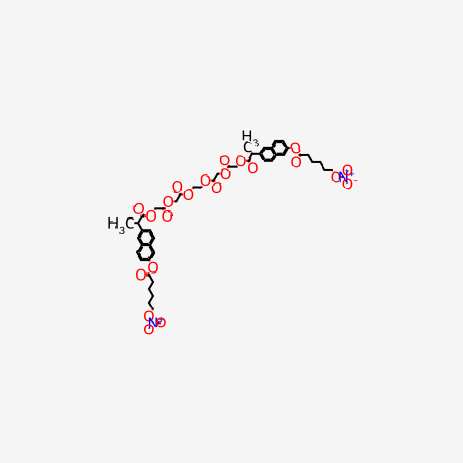 CC(C(=O)OCC(=O)OCC(=O)OCCOC(=O)COC(=O)COC(=O)C(C)c1ccc2cc(OC(=O)CCCCCO[N+](=O)[O-])ccc2c1)c1ccc2cc(OC(=O)CCCCCO[N+](=O)[O-])ccc2c1